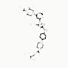 CC(=O)N1[C@H](C)CN(c2cc(-n3nc(Nc4ccc(N5CCN(C(=O)OCC(C)C)CC5)cc4)nc3N)ncn2)C[C@@H]1C